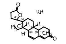 C[C@]12CCC(=O)C=C1C=C[C@@H]1[C@@H]2CC[C@@]2(C)[C@H]1CC[C@@]21CCC(=O)O1.[KH]